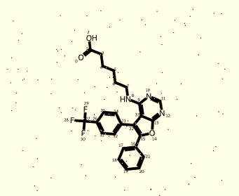 O=C(O)CCCCCNc1ncnc2oc(-c3ccccc3)c(-c3ccc(C(F)(F)F)cc3)c12